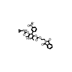 CC1=C(OC(=O)NC2CC2)C(c2cccc([N+](=O)[O-])c2)C(OC(=O)OCCN2C(=O)c3ccccc3C2=O)=C(C)N1